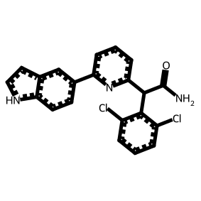 NC(=O)C(c1cccc(-c2ccc3[nH]ccc3c2)n1)c1c(Cl)cccc1Cl